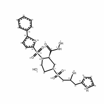 Cl.O=C(NO)[C@H]1CN(S(=O)(=O)CC(S)Cc2ncc[nH]2)CCN1S(=O)(=O)c1ccc(-c2ccccc2)s1